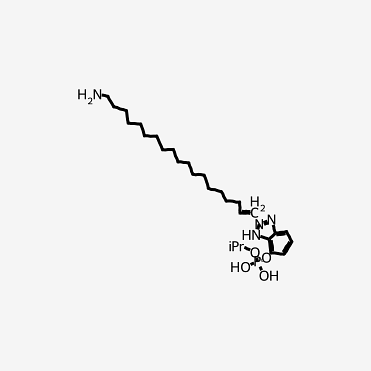 C=CCCCCCCCCCCCCCCCCCN.CC(C)OP(=O)(O)O.c1ccc2[nH]nnc2c1